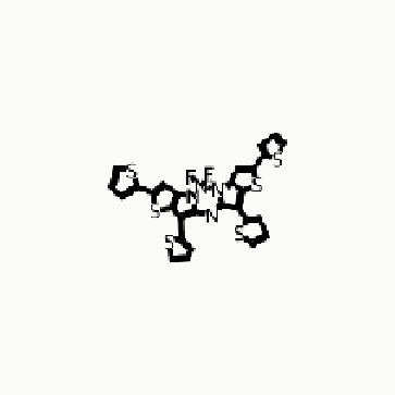 F[N+]1(F)n2c(c(-c3cccs3)c3sc(-c4cccs4)cc32)N=C2C(c3cccs3)=c3sc(-c4cccs4)cc3=[N+]21